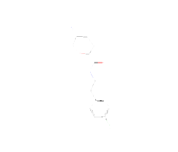 N[C@@H]1CC[C@H](C(=O)NCCc2ccc(Cl)cc2)OC1